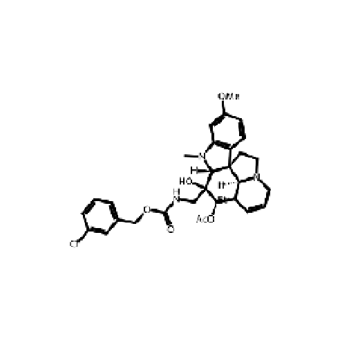 CC[C@]12C=CCN3CC[C@@]4(c5ccc(OC)cc5N(C)[C@H]4C(O)(CNC(=O)OCc4cccc(Cl)c4)[C@@H]1OC(C)=O)[C@@H]32